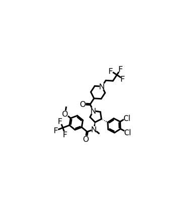 COc1ccc(C(=O)N(C)[C@H]2CN(C(=O)C3CCN(CCC(F)(F)F)CC3)C[C@@H]2c2ccc(Cl)c(Cl)c2)cc1C(F)(F)F